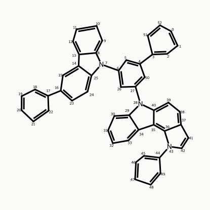 c1ccc(-c2cc(-n3c4ccccc4c4cc(-c5ccccc5)ccc43)cc(-n3c4ccccc4c4c5c(ccc43)ccn5-c3ccccc3)c2)cc1